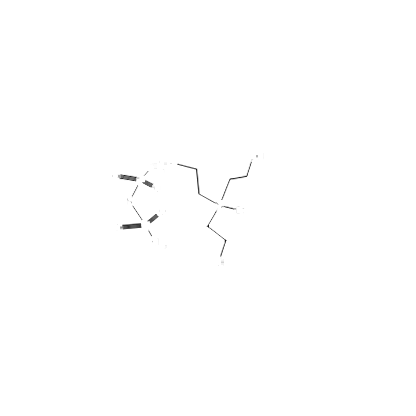 CCCCCCCCCCCC[N+](CC)(CCO)CCO.O=S(=O)([N-]S(=O)(=O)C(F)(F)F)C(F)(F)F